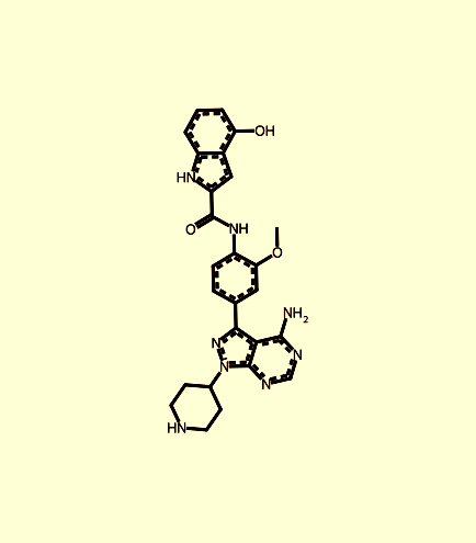 COc1cc(-c2nn(C3CCNCC3)c3ncnc(N)c23)ccc1NC(=O)c1cc2c(O)cccc2[nH]1